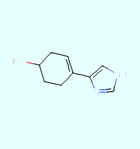 OC1CC=C(c2c[nH]cn2)CC1